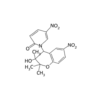 CC1(C)Oc2ccc([N+](=O)[O-])cc2C(n2cc([N+](=O)[O-])ccc2=O)C1(C)O